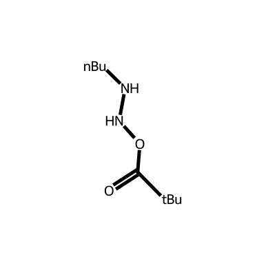 CCCCNNOC(=O)C(C)(C)C